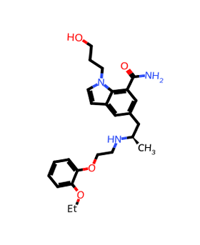 CCOc1ccccc1OCCN[C@H](C)Cc1cc(C(N)=O)c2c(ccn2CCCO)c1